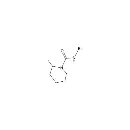 CCNC(=O)N1CCCCC1C